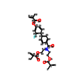 C=C(C)C(=O)OCCN(CCOC(=O)C(=C)C)C(=O)c1ccc(-c2ccc(OC(=O)C(=C)C)cc2F)cc1